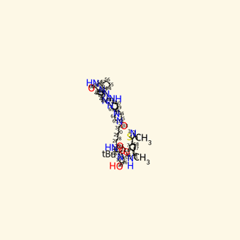 Cc1ncsc1-c1ccc([C@H](C)NC(=O)[C@@H]2C[C@@H](O)CN2C(=O)[C@@H](NC(=O)CCCCCC(=O)N2CCN(c3ccc(Nc4ncc5cc6n(c5n4)C4(CCCCC4)CNC6=O)nc3)CC2)C(C)(C)C)cc1